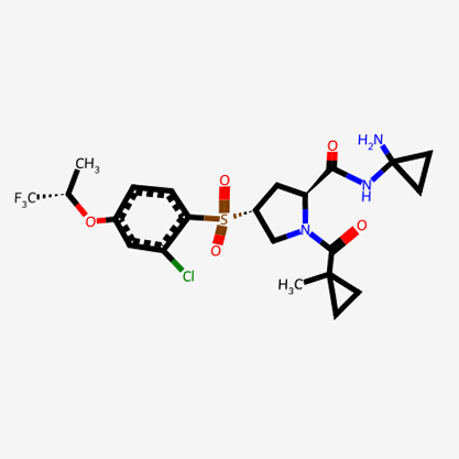 C[C@H](Oc1ccc(S(=O)(=O)[C@@H]2C[C@@H](C(=O)NC3(N)CC3)N(C(=O)C3(C)CC3)C2)c(Cl)c1)C(F)(F)F